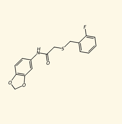 O=C(CSCc1ccccc1F)Nc1ccc2c(c1)OCO2